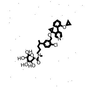 CC(CCCN(C)C(=O)[C@H]1OC(O)[C@H](O)[C@@H](O)[C@@H]1O)c1ccc(Cl)c(COC2(c3cnccc3-c3ccccc3OC3CC3)CC2)c1